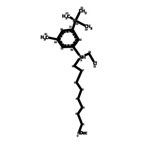 CCCCCCCCCCCCCCCCCC[SiH](CCl)c1cc(C)cc([Si](C)(C)C)c1